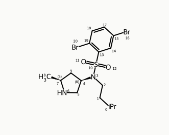 CC(C)CCN([C@H]1CN[C@@H](C)C1)S(=O)(=O)c1cc(Br)ccc1Br